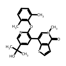 Cc1cccc(C)c1Oc1ncc(C(C)(C)O)cc1-c1cn(C)c(=O)c2ccsc12